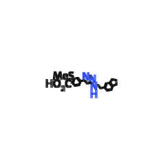 CSc1cc(-c2cc(NCCc3ccc4c(c3)CCC4)ncn2)ccc1C(=O)O